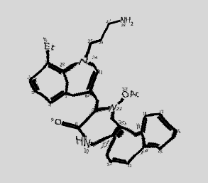 CCc1cccc2c(C3C(=O)Nc4ccc5ccccc5c4N3OC(C)=O)cn(CCCN)c12